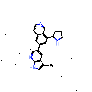 CC(C)c1c[nH]c2ncc(-c3cc(C4CCCN4)c4cnccc4c3)cc12